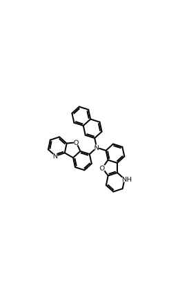 C1=Cc2oc3c(N(c4ccc5ccccc5c4)c4cccc5c4oc4cccnc45)cccc3c2NC1